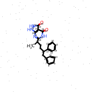 CC(CCC(Cc1ccccc1)c1ccccc1)c1nc2[nH][nH]c(=O)c2c(=O)[nH]1